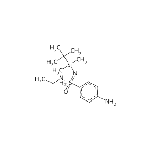 CCN[S@](=O)(=N[Si](C)(C)C(C)(C)C)c1ccc(N)cc1